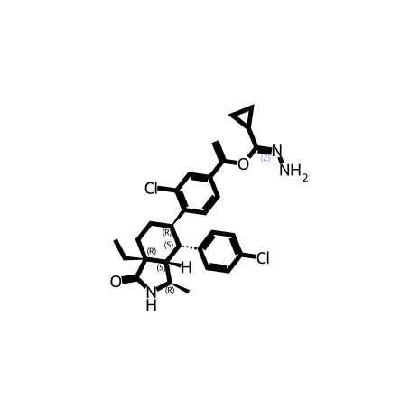 C=C(O/C(=N\N)C1CC1)c1ccc([C@@H]2CC[C@@]3(CC)C(=O)N[C@H](C)[C@H]3[C@H]2c2ccc(Cl)cc2)c(Cl)c1